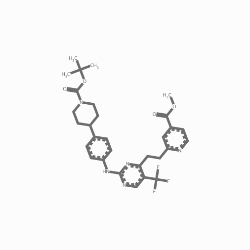 COC(=O)c1ccnc(CCc2nc(Nc3ccc(C4CCN(C(=O)OC(C)(C)C)CC4)cc3)ncc2C(F)(F)F)c1